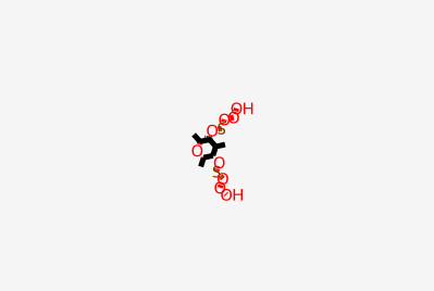 CC1OC(C)[C@H](OSOOO)C(C)C1OSOOO